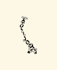 CC(C)(C)OC(=O)N(Cc1cnc(N2CCN(C(=O)CCOCCOCCN3CCN(c4ncc(C(=O)O)cn4)CC3)CC2)nc1)C(=O)OC(C)(C)C